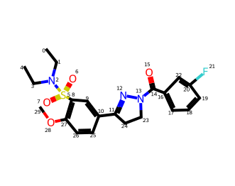 CCN(CC)S(=O)(=O)c1cc(C2=NN(C(=O)c3cccc(F)c3)CC2)ccc1OC